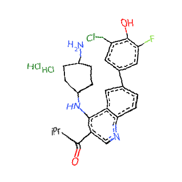 CC(C)C(=O)c1cnc2ccc(-c3cc(F)c(O)c(Cl)c3)cc2c1NC1CCC(N)CC1.Cl.Cl